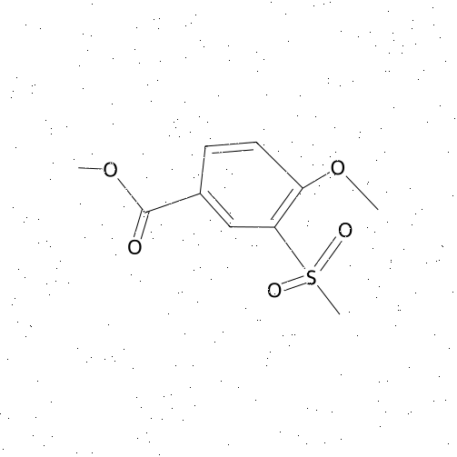 COC(=O)c1ccc(OC)c(S(C)(=O)=O)c1